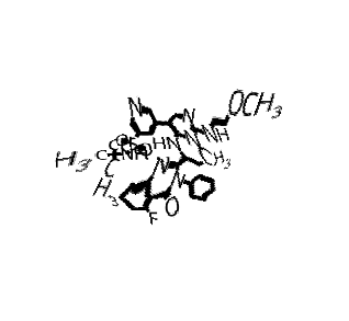 CCC(Nc1nc(NCCOC)ncc1-c1cncc(S(=O)(=O)NC(C)(C)C)c1)c1nc2cccc(F)c2c(=O)n1-c1ccccc1